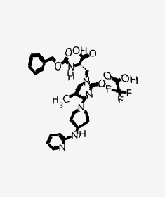 Cc1cn(C[C@H](NC(=O)OCc2ccccc2)C(=O)O)c(=O)nc1N1CCC(Nc2ccccn2)CC1.O=C(O)C(F)(F)F